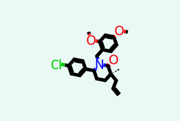 C=CC[C@@]1(C)CCC(c2ccc(Cl)cc2)N(Cc2ccc(OC)cc2OC)C1=O